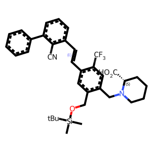 CC(C)(C)[Si](C)(C)OCc1cc(/C=C/c2cccc(-c3ccccc3)c2C#N)c(C(F)(F)F)cc1CN1CCCC[C@H]1C(=O)O